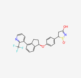 [O-][S+]1N=C(O)CC1c1ccc(O[C@@H]2CCc3c(-c4cccnc4C(F)(F)F)cccc32)cc1